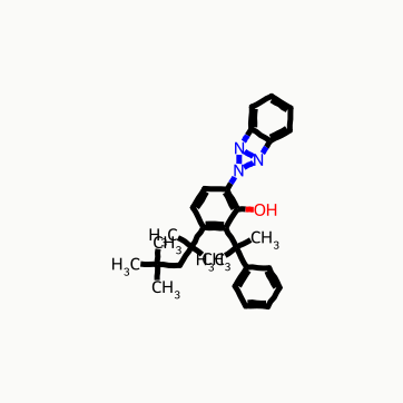 CC(C)(C)CC(C)(C)c1ccc(-n2n3c4ccccc4n23)c(O)c1C(C)(C)c1ccccc1